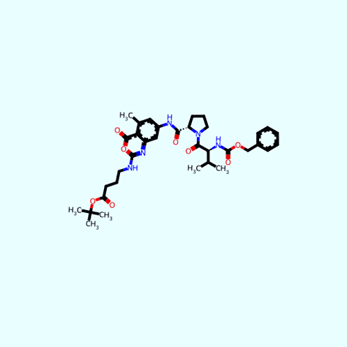 Cc1cc(NC(=O)[C@@H]2CCCN2C(=O)[C@@H](NC(=O)OCc2ccccc2)C(C)C)cc2nc(NCCCC(=O)OC(C)(C)C)oc(=O)c12